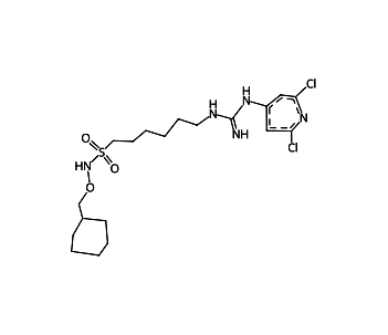 N=C(NCCCCCCS(=O)(=O)NOCC1CCCCC1)Nc1cc(Cl)nc(Cl)c1